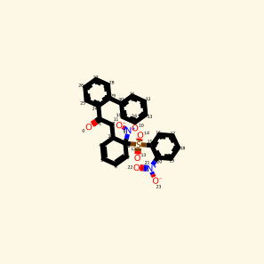 O=C(C[C]1C=CC=CC1([N+](=O)[O-])S(=O)(=O)c1ccccc1[N+](=O)[O-])c1ccccc1-c1ccccc1